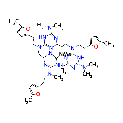 CNC1=NC(CN(CCc2ccc(C)o2)C2=NC(CCN(CCc3ccc(C)o3)C3=NC(C)N=C(N(C)C)N3)N=C(N(C)C)N2)N=C(N(C)CCc2ccc(C)o2)N1